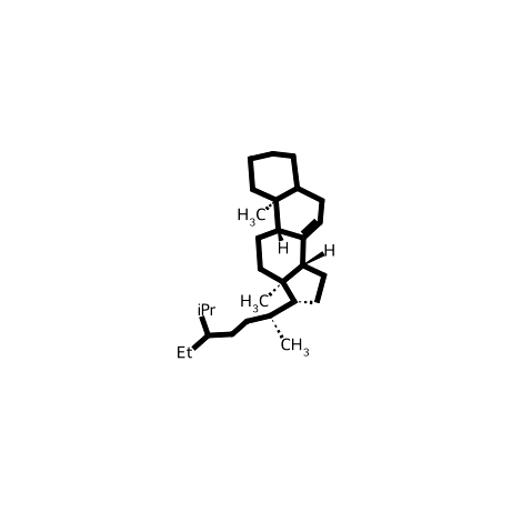 CCC(CC[C@@H](C)[C@H]1CC[C@H]2C3=CCC4CCCC[C@]4(C)[C@H]3CC[C@]12C)C(C)C